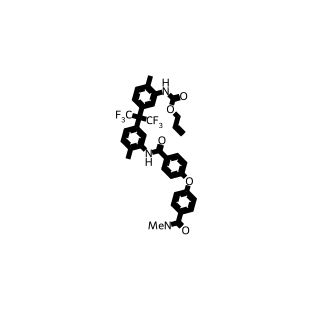 C=CCOC(=O)Nc1cc(C(c2ccc(C)c(NC(=O)c3ccc(Oc4ccc(C(=O)NC)cc4)cc3)c2)(C(F)(F)F)C(F)(F)F)ccc1C